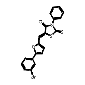 O=C1/C(=C/c2ccc(-c3cccc(Br)c3)o2)SC(=S)N1c1ccccc1